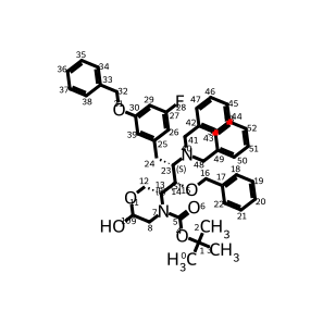 CC(C)(C)OC(=O)N1CC(O)OC[C@@H]1[C@@H](OCc1ccccc1)[C@H](Cc1cc(F)cc(OCc2ccccc2)c1)N(Cc1ccccc1)Cc1ccccc1